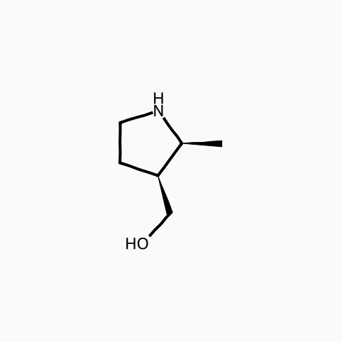 C[C@@H]1NCC[C@@H]1CO